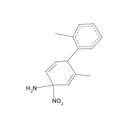 CC1=CC(N)([N+](=O)[O-])C=CC1c1ccccc1C